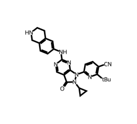 CC(C)(C)c1nc(-n2c3nc(Nc4ccc5c(c4)CCNC5)ncc3c(=O)n2C2CC2)ccc1C#N